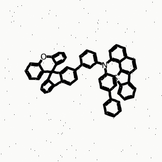 c1ccc(-c2ccc(N(c3cccc(-c4ccc5c(c4)C4(c6ccccc6Oc6ccccc64)c4ccccc4-5)c3)c3cccc4ccc5c6ccccc6sc5c34)cc2)cc1